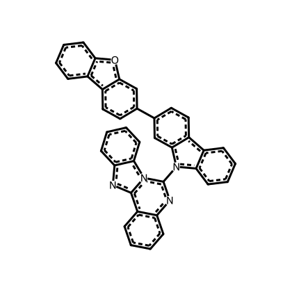 c1ccc2c(c1)nc(-n1c3ccccc3c3ccc(-c4ccc5c(c4)oc4ccccc45)cc31)n1c3ccccc3nc21